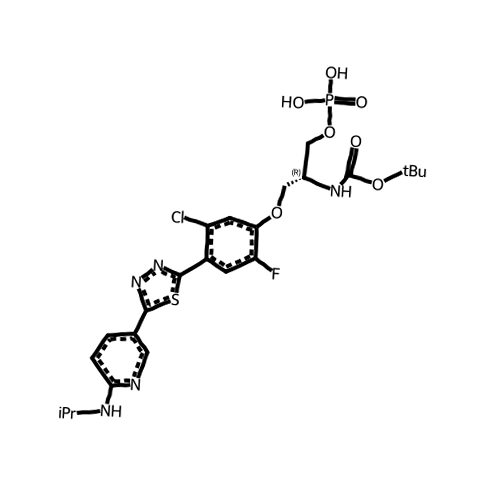 CC(C)Nc1ccc(-c2nnc(-c3cc(F)c(OC[C@H](COP(=O)(O)O)NC(=O)OC(C)(C)C)cc3Cl)s2)cn1